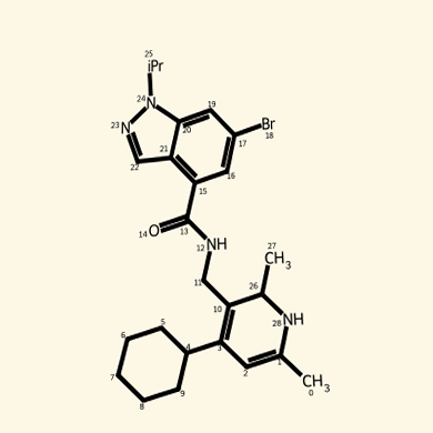 CC1=CC(C2CCCCC2)=C(CNC(=O)c2cc(Br)cc3c2cnn3C(C)C)C(C)N1